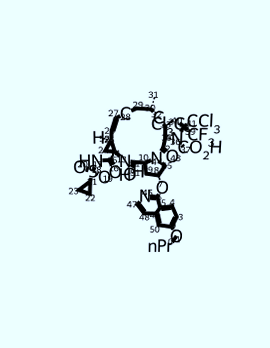 CCCOc1ccc2c(O[C@@H]3C[C@H]4C(=O)N[C@]5(C(=O)NS(=O)(=O)C6CC6)C[C@H]5C=CCC[C@H](C)C[C@@H](C)[C@H](N(C(=O)O)C(C(F)(F)F)(C(Cl)(Cl)Cl)C(Cl)(Cl)Cl)C(=O)N4C3)nccc2c1